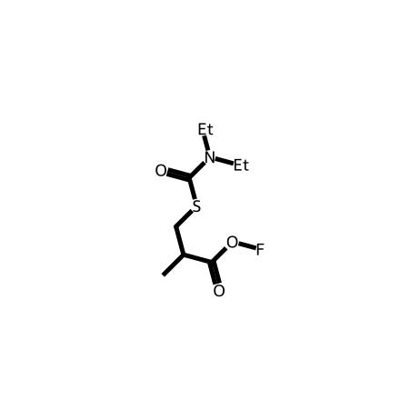 CCN(CC)C(=O)SCC(C)C(=O)OF